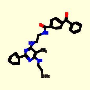 CC(=O)NCCNc1nc(-c2ccccc2)nc(NCCNC(=O)c2ccc(C(=O)c3ccccc3)cc2)c1C